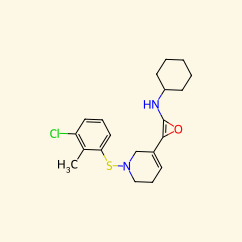 Cc1c(Cl)cccc1SN1CCC=C(C2=C(NC3CCCCC3)O2)C1